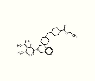 CCOC(=O)N1CCC(CN2CCC3(CC2)CN(C(=O)N/C(C(C)=N)=C(\C)O)Cc2ccccc23)CC1